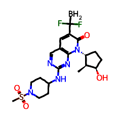 BC(F)(F)c1cc2cnc(NC3CCN(S(C)(=O)=O)CC3)nc2n([C@@H]2CC[C@@H](O)[C@H]2C)c1=O